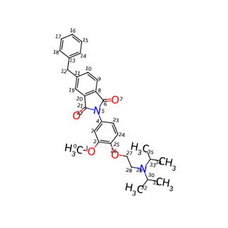 COc1cc(N2C(=O)c3ccc(Cc4ccccc4)cc3C2=O)ccc1OCCN(C(C)C)C(C)C